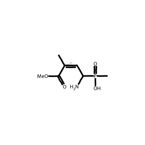 COC(=O)/C(C)=C\C(N)P(C)(=O)O